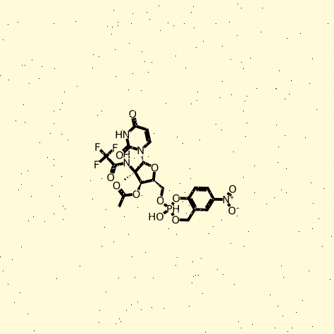 CC(=O)O[C@@H]1[C@H](CO[PH]2(O)OCc3cc([N+](=O)[O-])ccc3O2)O[C@@H](n2ccc(=O)[nH]c2=O)[C@]1(C)NC(=O)C(F)(F)F